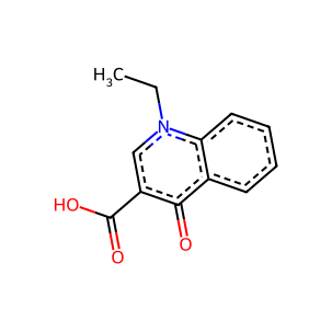 CCn1cc(C(=O)O)c(=O)c2ccccc21